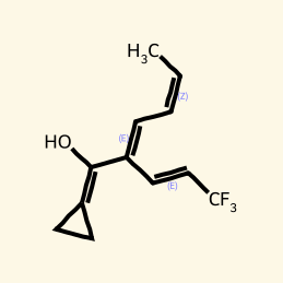 C\C=C/C=C(\C=C\C(F)(F)F)C(O)=C1CC1